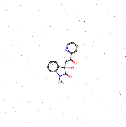 CN1C(=O)C(O)(CC(=O)c2ccccn2)c2ccccc21